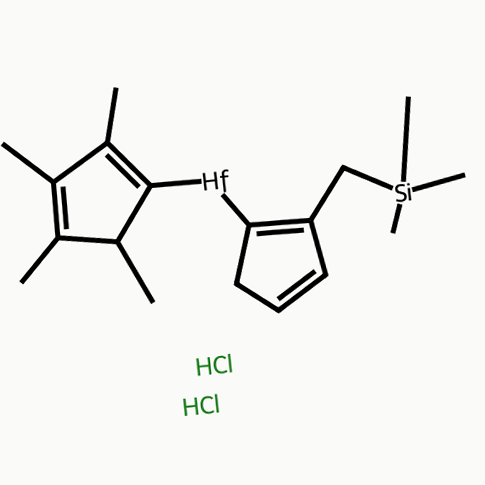 CC1=C(C)C(C)[C]([Hf][C]2=C(C[Si](C)(C)C)C=CC2)=C1C.Cl.Cl